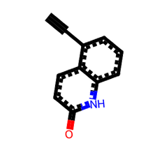 C#Cc1cccc2[nH]c(=O)ccc12